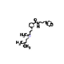 CC(C)=CCC/C(C)=C/CCC1=CCCC(C(=O)NCCCN2CCOCC2)C1